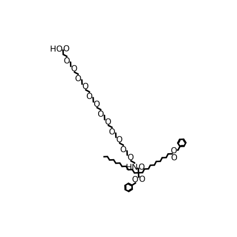 CCCCCCCCCCCC(CCCCCCCCCCC(=O)OCc1ccccc1)(C(=O)NCCOCCOCCOCCOCCOCCOCCOCCOCCOCCOCCOCCOCCC(=O)O)C(=O)OCc1ccccc1